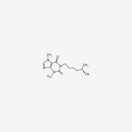 C[C@@H](C#N)CCCCn1c(=O)c2c(ncn2C)n(C)c1=O